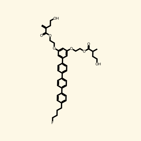 C=C(CCO)C(=O)OCCOc1cc(OCCOC(=O)C(C)CCO)cc(-c2ccc(-c3ccc(-c4ccc(CCCCF)cc4)cc3)cc2)c1